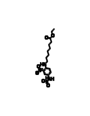 CCOC(=O)CCCCCCCNc1ccc(N[SH](=O)=O)cc1[N+](=O)[O-]